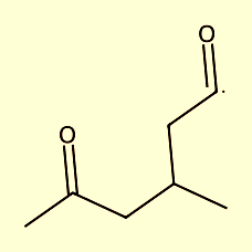 CC(=O)CC(C)C[C]=O